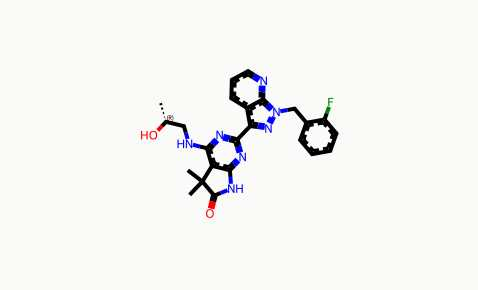 C[C@@H](O)CNc1nc(-c2nn(Cc3ccccc3F)c3ncccc23)nc2c1C(C)(C)C(=O)N2